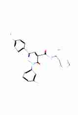 O=C(N[C@H](CO)[C@@H]1CCOC1)c1cc(-c2ccc(OC(F)(F)F)cc2)nn(-c2cccc(F)c2)c1=O